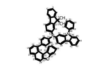 CC1(C)c2ccccc2-c2ccc(N(c3ccc(-c4cccc5ccc6oc7ccccc7c6c45)cc3)c3ccc4c5ccccc5n(-c5ccccc5)c4c3)cc21